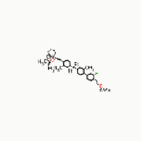 CCC(CC)(c1ccc(C#CC2(O[Si](C)(C)C)CCCCC2)c(C)c1)c1ccc(-c2ccc(CCOOC)c(F)c2)c(C)c1